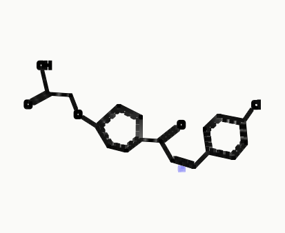 O=C(O)COc1ccc(C(=O)/C=C\c2ccc(Cl)cc2)cc1